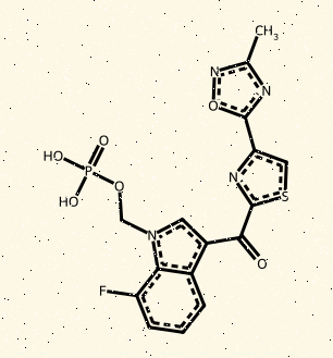 Cc1noc(-c2csc(C(=O)c3cn(COP(=O)(O)O)c4c(F)cccc34)n2)n1